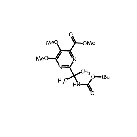 COC(=O)c1nc(C(C)(C)NC(=O)OC(C)(C)C)nc(OC)c1OC